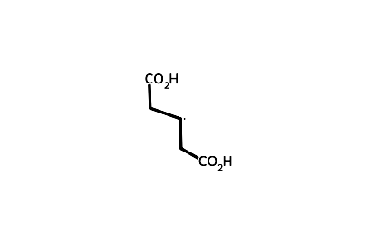 O=C(O)C[CH]CC(=O)O